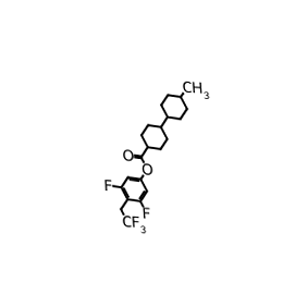 CC1CCC(C2CCC(C(=O)Oc3cc(F)c(CC(F)(F)F)c(F)c3)CC2)CC1